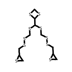 C(SSCC1CS1)SC(SCSSCC1CS1)C1SCS1